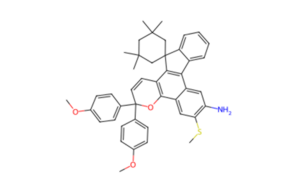 COc1ccc(C2(c3ccc(OC)cc3)C=Cc3c4c(c5cc(N)c(SC)cc5c3O2)-c2ccccc2C42CC(C)(C)CC(C)(C)C2)cc1